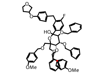 COc1ccc(COCC2(COCc3ccc(OC)cc3)OC(O)(c3ccc(F)c(Cc4ccc(OC5CCOC5)cc4)c3)C(OCc3ccccc3)[C@@H](OCc3ccccc3)[C@@H]2OCc2ccccc2)cc1